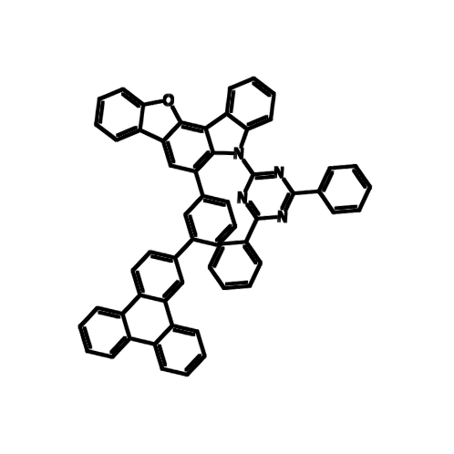 c1ccc(-c2nc(-c3ccccc3)nc(-n3c4ccccc4c4c5oc6ccccc6c5cc(-c5cccc(-c6ccc7c8ccccc8c8ccccc8c7c6)c5)c43)n2)cc1